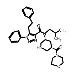 CC(C)CN(C(=O)c1nnn(-c2ccccc2)c1CCc1ccccc1)[C@@H]1CNC[C@H](C(=O)N2CCOCC2)C1